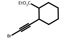 CCOC(=O)C1CCCCC1C#CBr